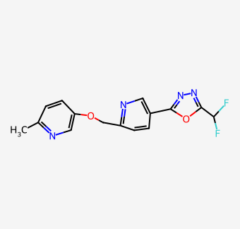 Cc1ccc(OCc2ccc(-c3nnc(C(F)F)o3)cn2)cn1